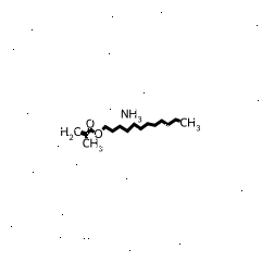 C=C(C)C(=O)OCCCCCCCCCCCC.N